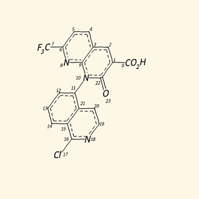 O=C(O)c1cc2ccc(C(F)(F)F)nc2n(-c2cccc3c(Cl)nccc23)c1=O